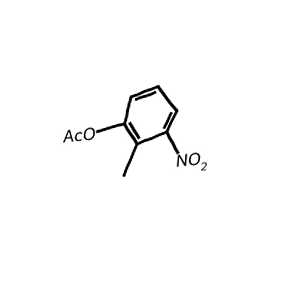 CC(=O)Oc1cccc([N+](=O)[O-])c1C